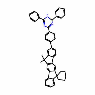 CC1(C)c2cc(-c3ccc(C4=NC(c5ccccc5)NC(c5ccccc5)=N4)cc3)ccc2-c2cc3c(cc21)-c1ccccc1C31CCCCC1